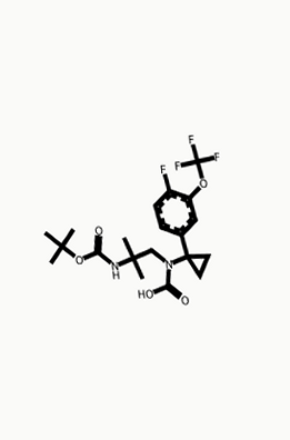 CC(C)(CN(C(=O)O)C1(c2ccc(F)c(OC(F)(F)F)c2)CC1)NC(=O)OC(C)(C)C